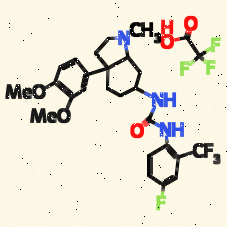 COc1ccc(C23CCC(NC(=O)Nc4ccc(F)cc4C(F)(F)F)CC2N(C)CC3)cc1OC.O=C(O)C(F)(F)F